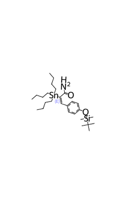 CCC[CH2][Sn]([CH2]CCC)([CH2]CCC)/[C](=C/c1ccc(O[Si](C)(C)C(C)(C)C)cc1)C(N)=O